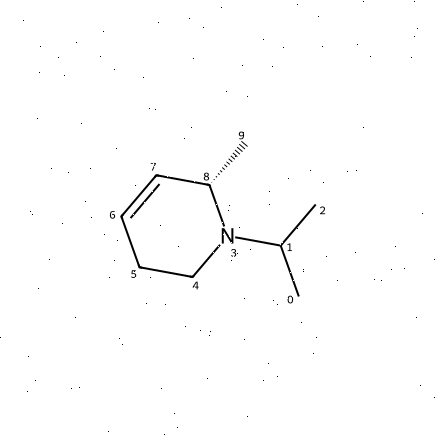 CC(C)N1CCC=C[C@@H]1C